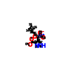 COC(=O)c1n[nH]cc1C(OCC[Si](C)(C)C)[N+](=O)[O-]